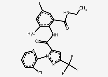 CCNC(=O)c1cc(I)cc(C)c1NC(=O)c1cc(C(F)(F)F)nn1-c1ncccc1Cl